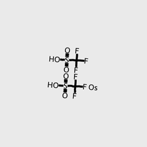 O=S(=O)(O)C(F)(F)F.O=S(=O)(O)C(F)(F)F.[Os]